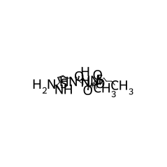 CCCCS(=O)(=O)N[C@H](C)C(=O)NCC(=O)NCc1ccc(C(=N)N)s1